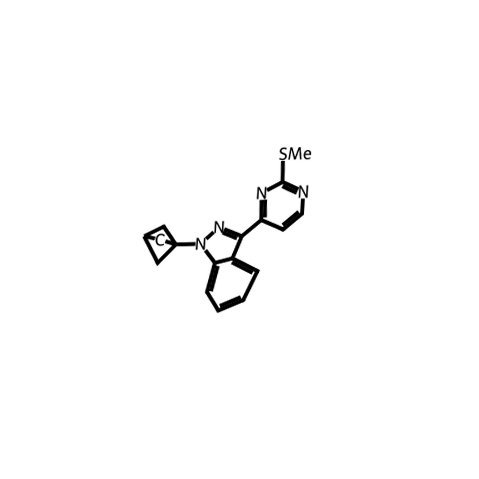 CSc1nccc(-c2nn(C34CC(C3)C4)c3ccccc23)n1